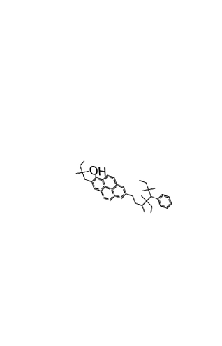 CCC(C)(C)Cc1cc2ccc3cc(CCC(C)C(C)(CC)C(c4ccccc4)C(C)(C)CC)cc4ccc(c1O)c2c34